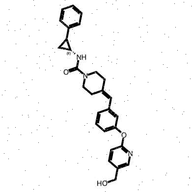 O=C(N[C@@H]1CC1c1ccccc1)N1CCC(=Cc2cccc(Oc3ccc(CO)cn3)c2)CC1